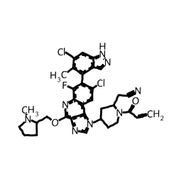 C=CC(=O)N1CCC(n2cnc3c(OCC4CCCN4C)nc4c(F)c(-c5c(C)c(Cl)cc6[nH]ncc56)c(Cl)cc4c32)CC1CC#N